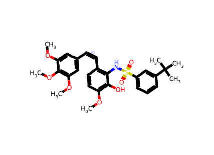 COc1ccc(/C=C\c2cc(OC)c(OC)c(OC)c2)c(NS(=O)(=O)c2cccc(C(C)(C)C)c2)c1O